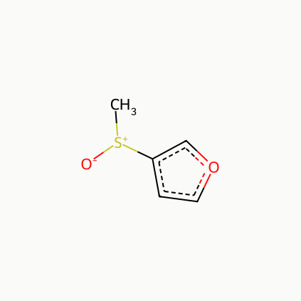 C[S+]([O-])c1ccoc1